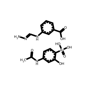 CC(=O)Nc1ccc([As](=O)(O)O)c(O)c1.NN=CNc1cccc(C(=O)O)c1